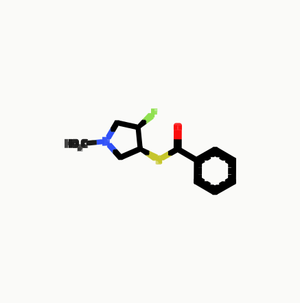 O=C(S[C@H]1CN(C(=O)O)C[C@H]1F)c1ccccc1